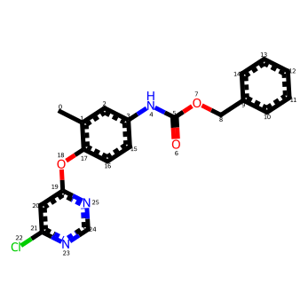 Cc1cc(NC(=O)OCc2ccccc2)ccc1Oc1cc(Cl)ncn1